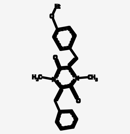 CCOc1ccc(C=c2c(=O)n(C)c(=Cc3ccccc3)c(=O)n2C)cc1